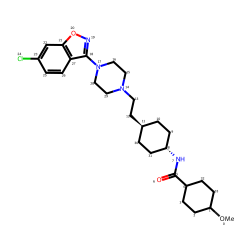 COC1CCC(C(=O)N[C@H]2CC[C@H](CCN3CCN(c4noc5cc(Cl)ccc45)CC3)CC2)CC1